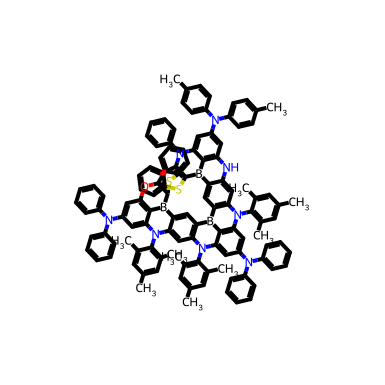 Cc1ccc(N(c2ccc(C)cc2)c2cc3c4c(c2)N(c2ccccc2)c2c(sc5ccccc25)B4c2cc4c(cc2N3)N(c2c(C)cc(C)cc2C)c2cc(N(c3ccccc3)c3ccccc3)cc3c2B4c2cc4c(cc2N3c2c(C)cc(C)cc2C)N(c2c(C)cc(C)cc2C)c2cc(N(c3ccccc3)c3ccccc3)cc3c2B4c2sc4ccccc4c2O3)cc1